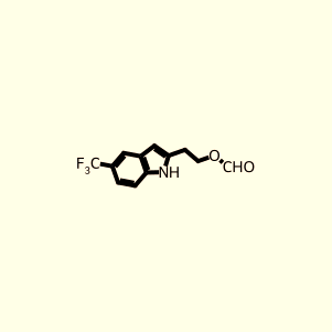 O=COCCc1cc2cc(C(F)(F)F)ccc2[nH]1